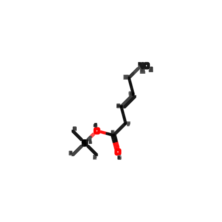 C[Si](C)(C)OC(=O)C/C=C/C[N+](=O)[O-]